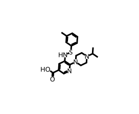 Cc1cccc(SNc2cc(C(=O)O)cnc2N2CCN(C(C)C)CC2)c1